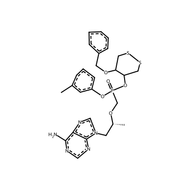 Cc1cccc(OP(=O)(CO[C@H](C)Cn2cnc3c(N)ncnc32)OC2CSSCC2OCc2ccccc2)c1